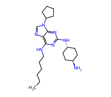 CCCCCCNc1nc(N[C@H]2CC[C@H](N)CC2)nc2c1ncn2C1CCCC1